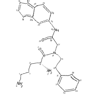 NCCC[C@@H](N)C(=O)N(CCc1ccccc1)CC(=O)Nc1ccc2ccccc2c1